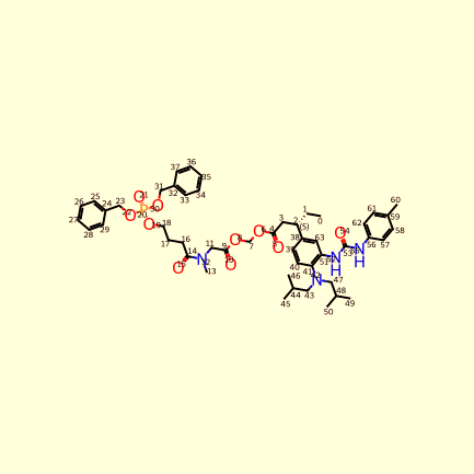 CC[C@@H](CC(=O)OCOC(=O)CN(C)C(=O)CCCOP(=O)(OCc1ccccc1)OCc1ccccc1)c1ccc(N(CC(C)C)CC(C)C)c(NC(=O)Nc2ccc(C)cc2)c1